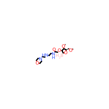 B[C@@H]1O[C@H](COC)C(OC)[C@@H]1OCC(=O)NCCNCCN1CCOCC1